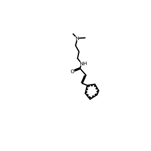 CN(C)CCCNC(=O)C=Cc1ccccc1